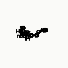 CCCCN(C(=O)Nc1c(C(C)C)cc(-c2cccc(OCCN3CCOCC3)c2)cc1C(C)C)c1cc2cccnc2[nH]c1=O